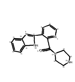 O=C(c1ncccc1-c1nc2ccccc2[nH]1)N1CCNCC1